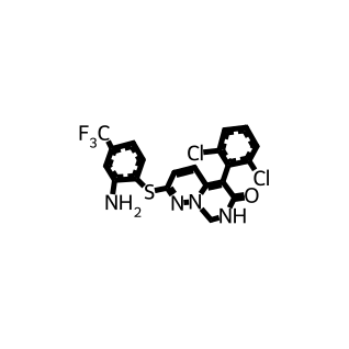 Nc1cc(C(F)(F)F)ccc1SC1=NN2CNC(=O)C(c3c(Cl)cccc3Cl)=C2C=C1